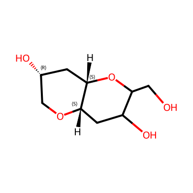 OCC1O[C@H]2C[C@@H](O)CO[C@H]2CC1O